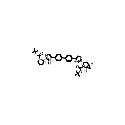 CC(C)(C)OC(=O)N1CCC[C@H]1c1ncc(-c2ccc(-c3ccc(-c4cnc([C@@H]5C[C@H]6C[C@H]6N5C(=O)OC(C)(C)C)[nH]4)cc3)cc2)[nH]1